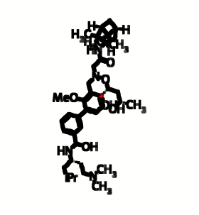 COc1c(CN(CC(=O)N[C@H]2C[C@H]3C[C@@H]([C@@H]2C)C3(C)C)O[C@@H](CO)C[C@H](C)O)cccc1-c1cccc(C(O)N[C@H](CCN(C)C)CC(C)C)c1